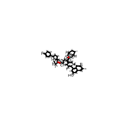 CC(C)C(=O)OCOC(=O)N1[C@@H]2CC[C@H]1CN(c1nc(OCC34CCCN3C(c3ccc(F)cc3)CC4)nc3c(F)c(-c4cc(O)cc5ccc(F)c(F)c45)ncc13)C2